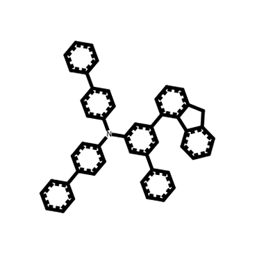 c1ccc(-c2ccc(N(c3ccc(-c4ccccc4)cc3)c3cc(-c4ccccc4)cc(-c4cccc5c4-c4ccccc4C5)c3)cc2)cc1